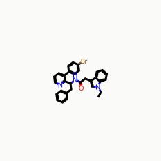 CCn1cc(CC(=O)NC(Cc2ccccc2)c2ncccc2-c2ccc(Br)cc2)c2ccccc21